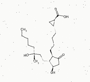 CCCCC[C@@](C)(O)CC[C@H]1[C@H](O)CC(=O)[C@@H]1CCCC[C@@H]1C[C@H]1C(=O)O